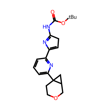 CC(C)(C)OC(=O)NC1=NC(c2cccc(C34CCOCC3C4)n2)=CC1